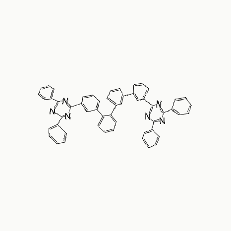 c1ccc(-c2nc(-c3ccccc3)nc(-c3cccc(-c4cccc(-c5ccccc5-c5cccc(-c6nc(-c7ccccc7)nc(-c7ccccc7)n6)c5)c4)c3)n2)cc1